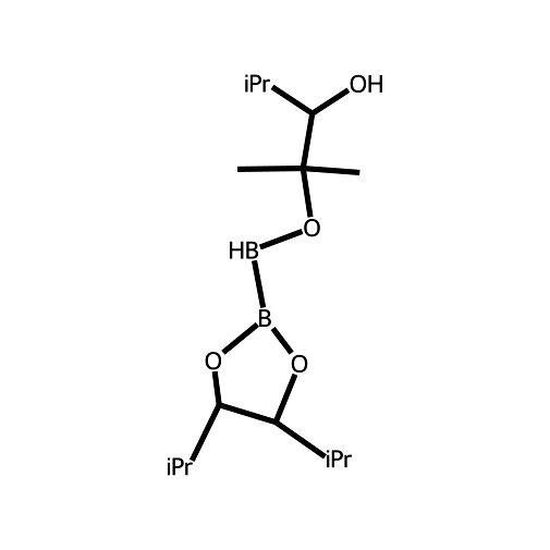 CC(C)C1OB(BOC(C)(C)C(O)C(C)C)OC1C(C)C